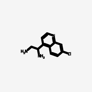 NCC(N)c1ccnc2cc(Cl)ccc12